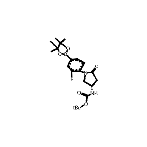 CC(C)(C)OC(=O)N[C@H]1CC(=O)N(c2ccc(B3OC(C)(C)C(C)(C)O3)cc2F)C1